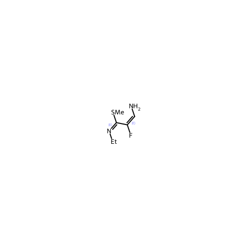 CC/N=C(SC)\C(F)=C/N